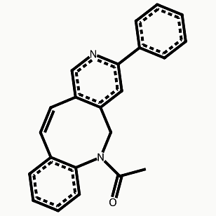 CC(=O)N1Cc2cc(-c3ccccc3)ncc2/C=C\c2ccccc21